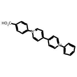 O=C(O)c1ccc(-[n+]2ccc(-c3cc[n+](-c4ccccc4)cc3)cc2)cc1